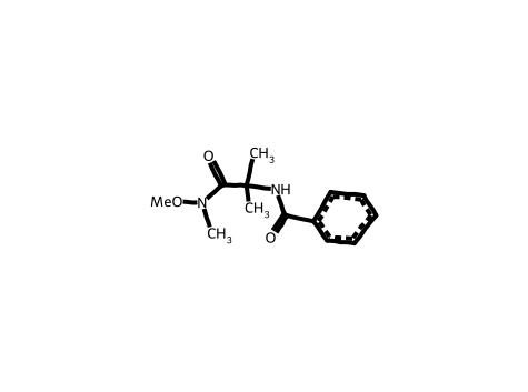 CON(C)C(=O)C(C)(C)NC(=O)c1ccccc1